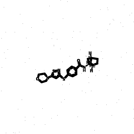 O=C(N[C@@H]1C[C@H]2CC[C@@H]1N2)c1ccc(Sc2cc(N3CCOCC3)sn2)cc1